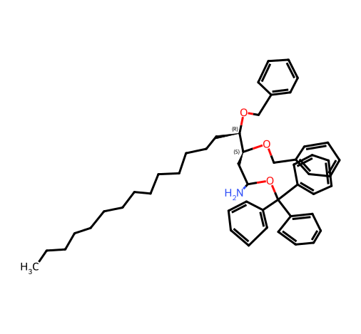 CCCCCCCCCCCCCC[C@@H](OCc1ccccc1)[C@H](CC(N)OC(c1ccccc1)(c1ccccc1)c1ccccc1)OCc1ccccc1